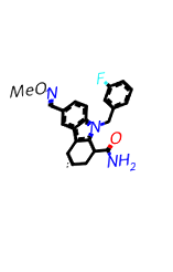 CON=Cc1ccc2c(c1)c1c(n2Cc2cccc(F)c2)C(C(N)=O)C[C]C1